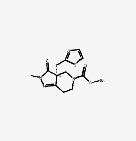 CN1N=C2CCN(C(=O)OC(C)(C)C)C[C@]2(Cc2nccs2)C1=O